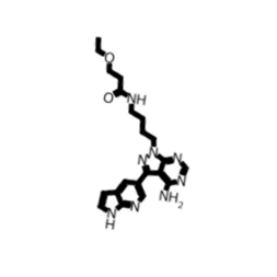 CCOCCC(=O)NCCCCn1nc(-c2cnc3[nH]ccc3c2)c2c(N)ncnc21